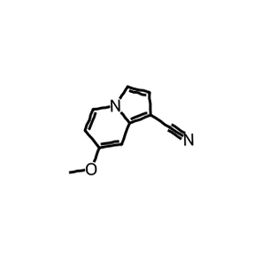 COc1ccn2ccc(C#N)c2c1